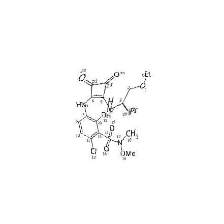 CCOCC(Nc1c(Nc2ccc(Cl)c(S(=O)(=O)N(C)OC)c2O)c(=O)c1=O)C(C)C